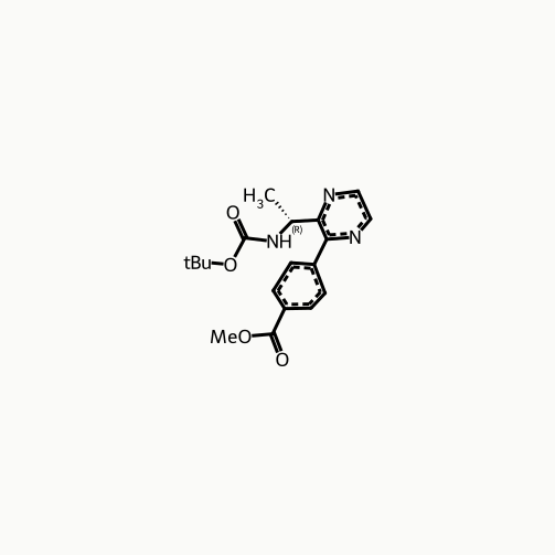 COC(=O)c1ccc(-c2nccnc2[C@@H](C)NC(=O)OC(C)(C)C)cc1